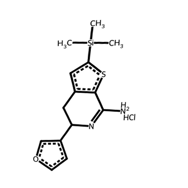 C[Si](C)(C)c1cc2c(s1)C(N)=NC(c1ccoc1)C2.Cl